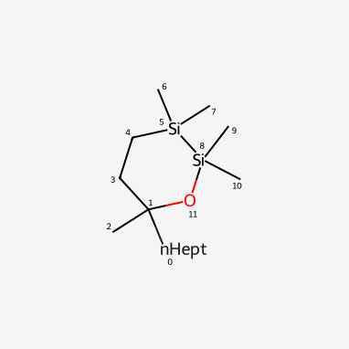 CCCCCCCC1(C)CC[Si](C)(C)[Si](C)(C)O1